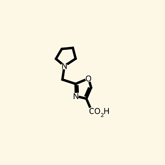 O=C(O)c1coc(CN2CCCC2)n1